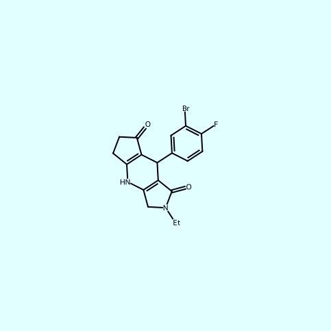 CCN1CC2=C(C1=O)C(c1ccc(F)c(Br)c1)C1=C(CCC1=O)N2